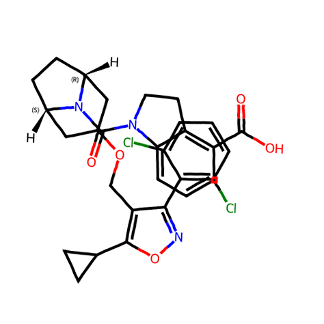 O=C(O)c1cccc2c1CCN2C(=O)N1[C@@H]2CC[C@H]1CC(OCc1c(-c3c(Cl)cccc3Cl)noc1C1CC1)C2